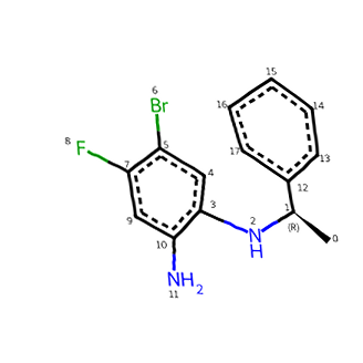 C[C@@H](Nc1cc(Br)c(F)cc1N)c1ccccc1